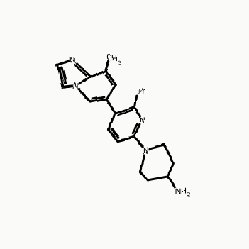 Cc1cc(-c2ccc(N3CCC(N)CC3)nc2C(C)C)cn2ccnc12